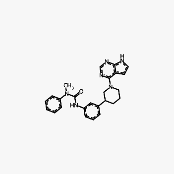 CN(C(=O)Nc1cccc(C2CCCN(c3ncnc4[nH]ccc34)C2)c1)c1ccccc1